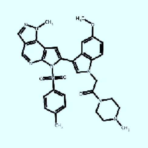 COc1ccc2c(c1)c(-c1cc3c4c(cnc3n1S(=O)(=O)c1ccc(C)cc1)cnn4C)cn2CC(=O)N1CCN(C)CC1